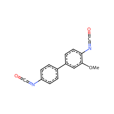 COc1cc(-c2ccc(N=C=O)cc2)ccc1N=C=O